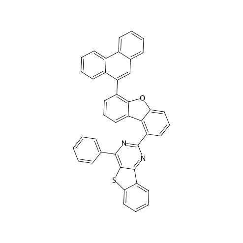 c1ccc(-c2nc(-c3cccc4oc5c(-c6cc7ccccc7c7ccccc67)cccc5c34)nc3c2sc2ccccc23)cc1